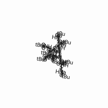 CC(C)(C)OC(=O)NCCCC[C@H](NC(=O)OC(C)(C)C)C(=O)NCCN(CCCN(CCNC(=O)[C@H](CCCCNC(=O)OC(C)(C)C)NC(=O)OC(C)(C)C)CCNC(=O)[C@H](CCCCNC(=O)OC(C)(C)C)NC(=O)OC(C)(C)C)CCNC(=O)[C@H](CCCCNC(=O)OC(C)(C)C)NC(=O)OC(C)(C)C